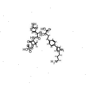 C[n+]1cc(-c2ccc(CCC(ONC(C(=O)N[C@@H]3C(=O)N(OS(=O)(=O)O)C3(C)C)c3csc(N)n3)C(=O)O)cc2)cn1CCCN